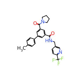 Cc1ccc(-c2cc(C(=O)NCc3ccc(C(F)(F)F)nc3)cc(C(=O)N3CCCC3)c2)cc1